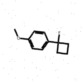 COc1ccc(C2(F)CCC2)cc1